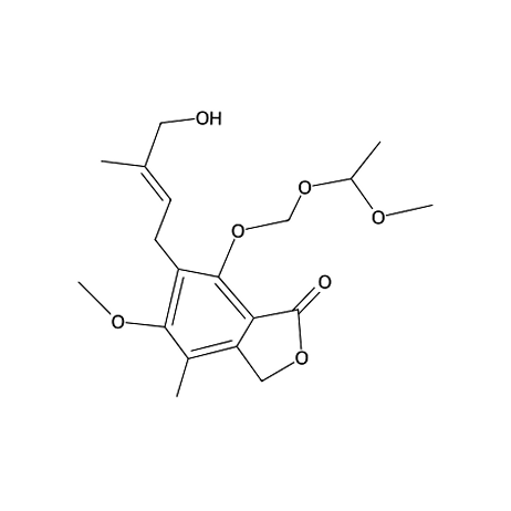 COc1c(C)c2c(c(OCOC(C)OC)c1C/C=C(\C)CO)C(=O)OC2